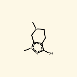 CN1CCc2c(O)nn(C)c2C1